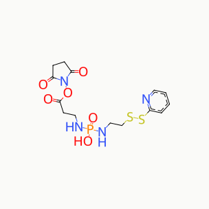 O=C(CCNP(=O)(O)NCCSSc1ccccn1)ON1C(=O)CCC1=O